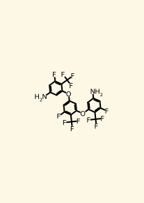 Nc1cc(F)c(C(F)(F)F)c(Oc2cc(F)c(C(F)(F)F)c(Oc3cc(N)cc(F)c3C(F)(F)F)c2)c1